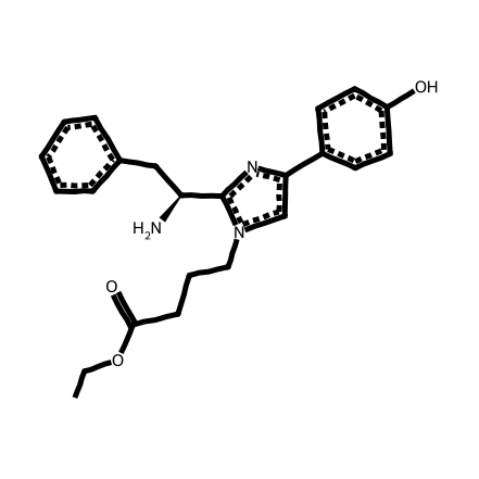 CCOC(=O)CCCn1cc(-c2ccc(O)cc2)nc1[C@@H](N)Cc1ccccc1